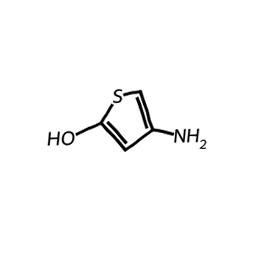 Nc1csc(O)c1